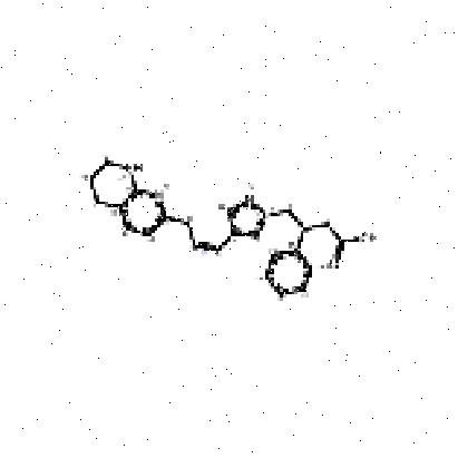 O=C(O)CC(Cn1cc(/C=C\Cc2ccc3c(n2)NCCC3)cn1)c1ccccc1